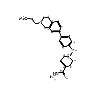 COCCN1CCc2ccc(-c3ccc(SN4CC=C(C(=O)NO)CC4)cc3)cc2C1